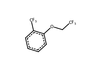 FC(F)(F)COc1ccccc1C(F)(F)F